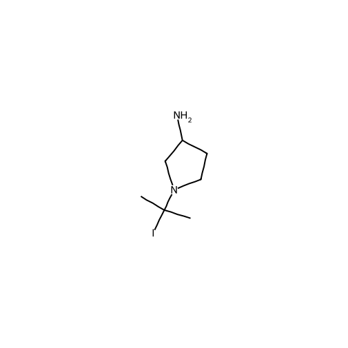 CC(C)(I)N1CCC(N)C1